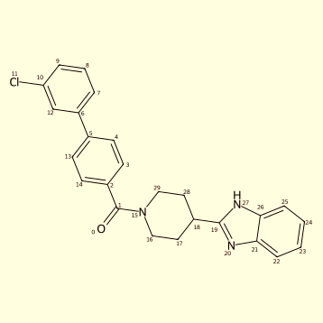 O=C(c1ccc(-c2cccc(Cl)c2)cc1)N1CCC(c2nc3ccccc3[nH]2)CC1